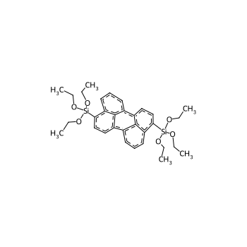 CCO[Si](OCC)(OCC)c1ccc2c3cccc4c([Si](OCC)(OCC)OCC)ccc(c5cccc1c52)c43